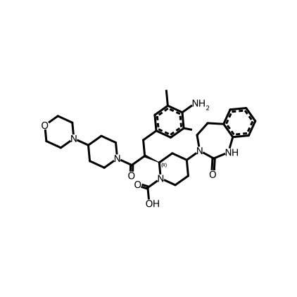 Cc1cc(CC(C(=O)N2CCC(N3CCOCC3)CC2)[C@H]2CC(N3CCc4ccccc4NC3=O)CCN2C(=O)O)cc(C)c1N